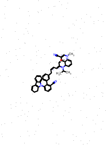 C=C/C(=C\C=C/Cc1cccc(-c2c(C#N)cccc2-n2c3c(c4ccccc42)C=CCC3)c1)N(C(C)C)C1C=CC=CC1C/C(C#N)=C\NC